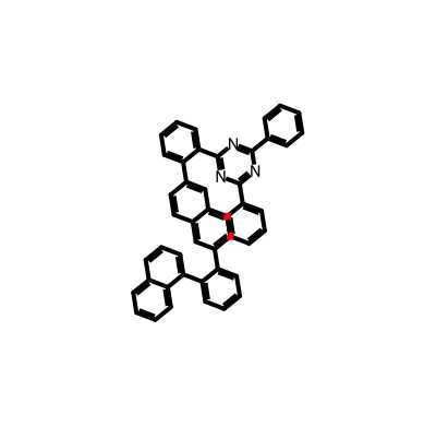 c1ccc(-c2nc(-c3ccccc3)nc(-c3ccccc3-c3ccc4cc(-c5ccccc5-c5cccc6ccccc56)ccc4c3)n2)cc1